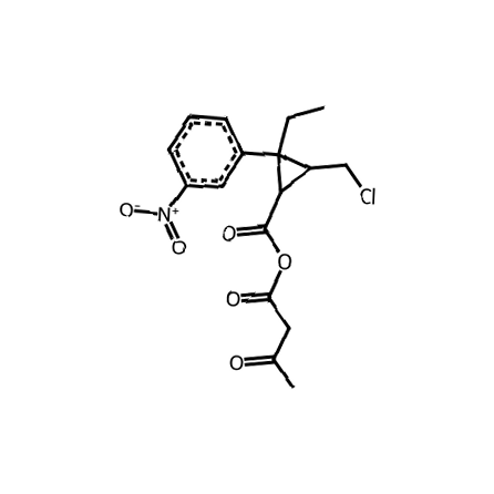 CCC1(c2cccc([N+](=O)[O-])c2)C(CCl)C1C(=O)OC(=O)CC(C)=O